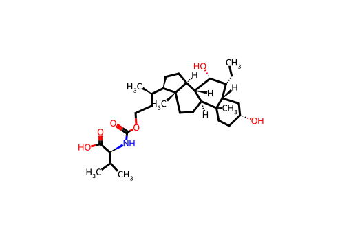 CC[C@H]1[C@@H](O)[C@@H]2[C@H](CC[C@]3(C)[C@@H]([C@H](C)CCOC(=O)N[C@H](C(=O)O)C(C)C)CC[C@@H]23)[C@@]2(C)CC[C@@H](O)C[C@@H]12